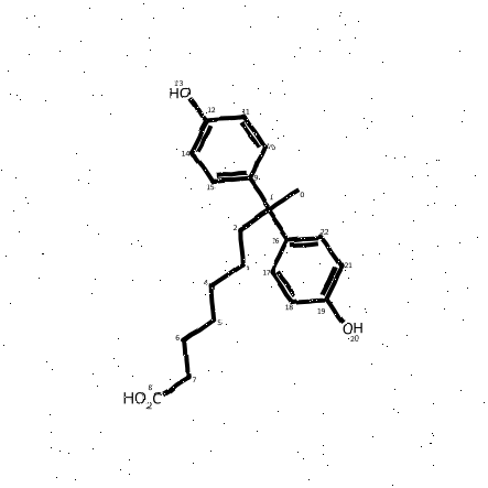 CC(CCCCCCC(=O)O)(c1ccc(O)cc1)c1ccc(O)cc1